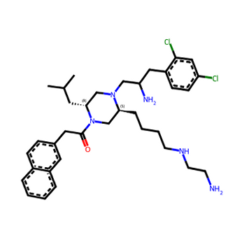 CC(C)C[C@@H]1CN(CC(N)Cc2ccc(Cl)cc2Cl)[C@@H](CCCCNCCN)CN1C(=O)Cc1ccc2ccccc2c1